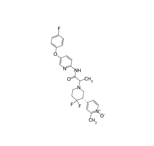 Cc1cc([C@H]2CN(C(C)C(=O)Nc3ccc(Oc4ccc(F)cc4)cn3)CCC2(F)F)cc[n+]1[O-]